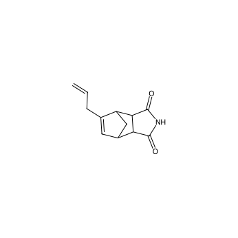 C=CCC1=CC2CC1C1C(=O)NC(=O)C21